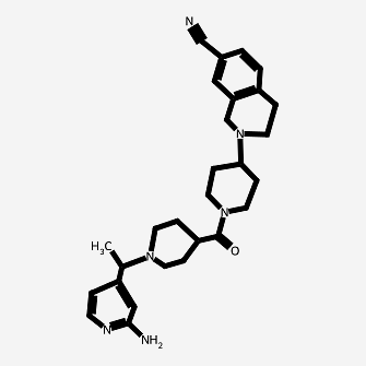 CC(c1ccnc(N)c1)N1CCC(C(=O)N2CCC(N3CCc4ccc(C#N)cc4C3)CC2)CC1